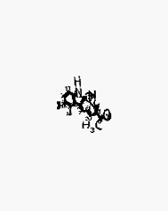 CC(=O)c1c[nH]c(C=C2C(=O)Nc3ccc(F)c(I)c32)c1